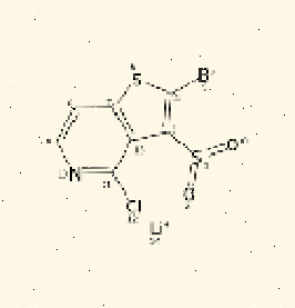 O=[S-](=O)c1c(Br)sc2ccnc(Cl)c12.[Li+]